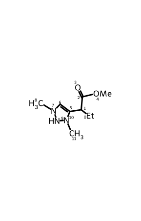 CCC(C(=O)OC)C1=CN(C)NN1C